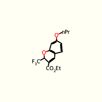 CCCOc1ccc2c(c1)OC(C(F)(F)F)C(C(=O)OCC)=C2